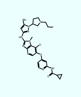 Cn1c(Nc2cc(C(C)(C)C)n(C3CCN(CCF)C3)n2)nc2ncc(Oc3ccnc(NC(=O)C4CC4)c3)c(Cl)c21